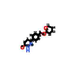 O=C1CCC(c2ccc(COC3CCCCO3)cc2)=NN1